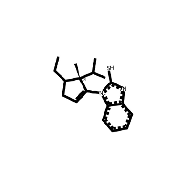 CCC1CC=C(n2c(S)nc3ccccc32)[C@@]1(C)C(C)C